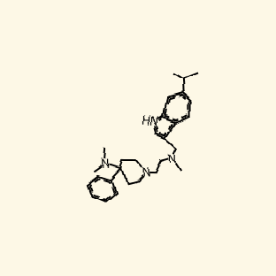 CC(C)c1ccc2c(CN(C)CCN3CCC(c4ccccc4)(N(C)C)CC3)c[nH]c2c1